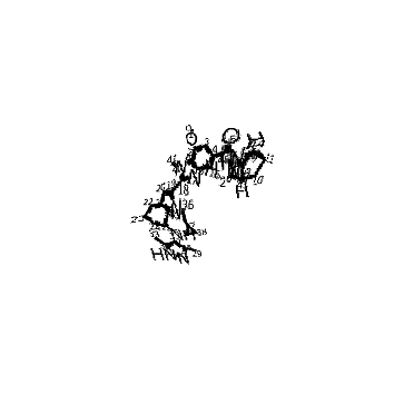 COc1cc(C(=O)N2C[C@H]3CC[C@@H]2[C@@H]3N)cc2nc(-c3cc4cccc(Nc5c(C)n[nH]c5C)c4n3CC3CC3)n(C)c12